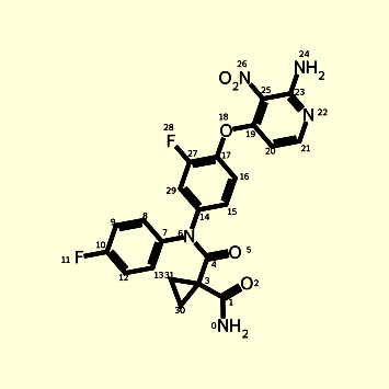 NC(=O)C1(C(=O)N(c2ccc(F)cc2)c2ccc(Oc3ccnc(N)c3[N+](=O)[O-])c(F)c2)CC1